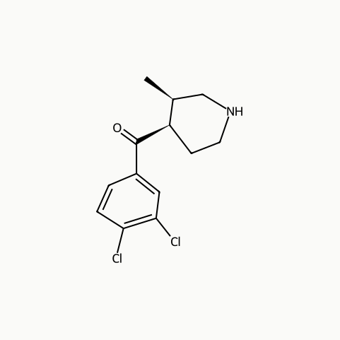 C[C@H]1CNCC[C@H]1C(=O)c1ccc(Cl)c(Cl)c1